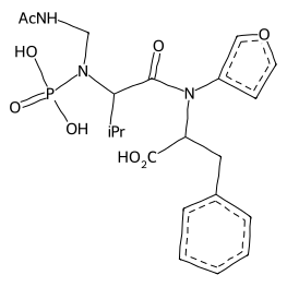 CC(=O)NCN(C(C(=O)N(c1ccoc1)C(Cc1ccccc1)C(=O)O)C(C)C)P(=O)(O)O